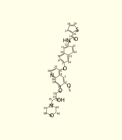 COc1cc2c(Oc3ccc4cc(NC(=O)c5cccs5)ccc4c3)ccnc2cc1OC[C@@H](O)CN1CCOCC1